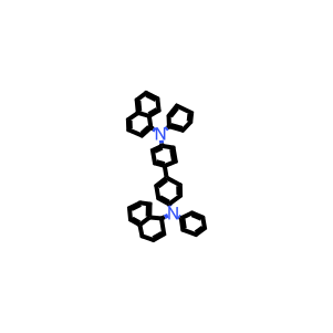 C1=CC(N(c2ccccc2)c2ccc(-c3ccc(N(c4ccccc4)c4cccc5ccccc45)cc3)cc2)c2ccccc2C1